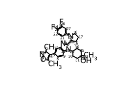 Cc1noc(C)c1-c1ccc2c(c1)nc([C@@H]1CCCN1c1ccc(F)c(F)c1)n2[C@H]1CC[C@@](C)(O)CC1